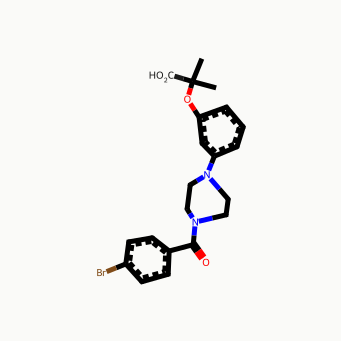 CC(C)(Oc1cccc(N2CCN(C(=O)c3ccc(Br)cc3)CC2)c1)C(=O)O